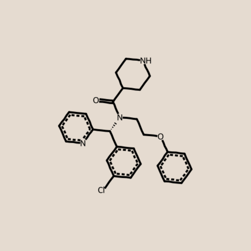 O=C(C1CCNCC1)N(CCOc1ccccc1)[C@H](c1cccc(Cl)c1)c1ccccn1